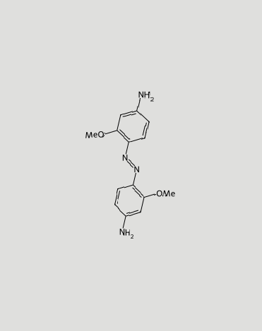 COc1cc(N)ccc1N=Nc1ccc(N)cc1OC